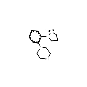 O=S1(=O)CCCN1c1ccccc1N1CCNCC1